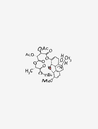 CCCCOC(=O)[C@H](C)OC(=O)[C@H](OC(C)=O)[C@@H](OC(C)=O)C(=O)OC1=CC[C@@]2(O)[C@H]3Cc4ccc(OC)c5c4[C@@]2(CCN3C)[C@H]1O5